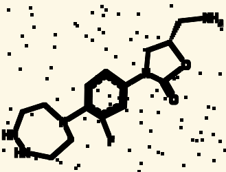 NC[C@H]1CN(c2ccc(N3CCNNCC3)c(F)c2)C(=O)O1